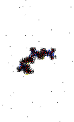 c1ccc(-c2nc(-c3ccccc3)nc(-c3ccc(-n4c5ccccc5c5cc6c(cc54)sc4cccc(-c5cccc(-c7nc(-c8ccccc8)nc(-c8ccc(-n9c%10ccccc%10c%10c%11sc%12cc(-c%13cccc(-c%14nc(-c%15ccccc%15)nc(-n%15c%16ccccc%16c%16c%17c(ccc%16%15)sc%15ccccc%15%17)n%14)c%13)ccc%12c%11ccc%109)cc8)n7)c5)c46)cc3)n2)cc1